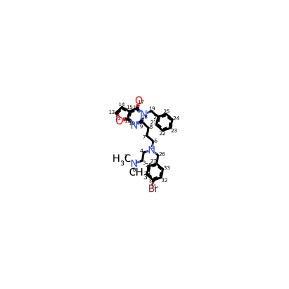 CN(C)CCN(CCCc1nc2occc2c(=O)n1Cc1ccccc1)Cc1ccc(Br)cc1